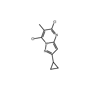 Cc1c(Cl)nc2cc(C3CC3)nn2c1Cl